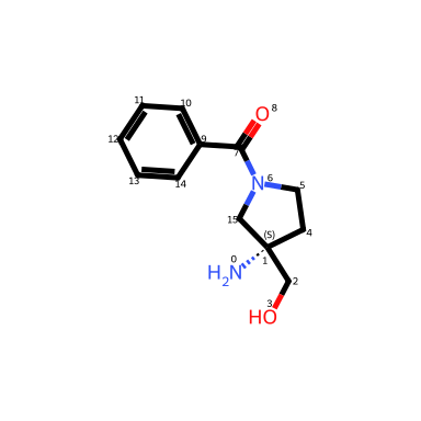 N[C@@]1(CO)CCN(C(=O)c2cc[c]cc2)C1